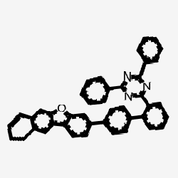 C1=Cc2cc3oc4cc(-c5ccc(-c6ccccc6-c6nc(-c7ccccc7)nc(-c7ccccc7)n6)cc5)ccc4c3cc2CC1